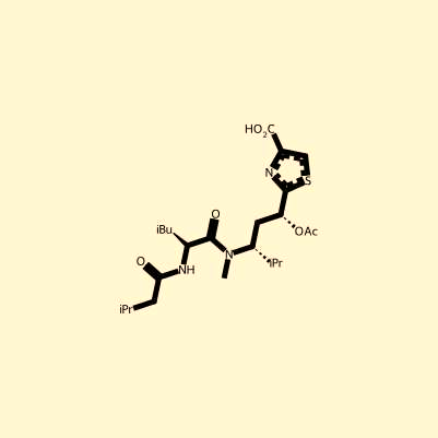 CC[C@H](C)C(NC(=O)CC(C)C)C(=O)N(C)[C@H](C[C@@H](OC(C)=O)c1nc(C(=O)O)cs1)C(C)C